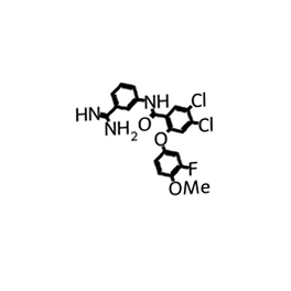 COc1ccc(Oc2cc(Cl)c(Cl)cc2C(=O)Nc2cccc(C(=N)N)c2)cc1F